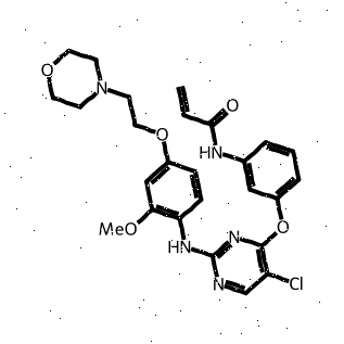 C=CC(=O)Nc1cccc(Oc2nc(Nc3ccc(OCCN4CCOCC4)cc3OC)ncc2Cl)c1